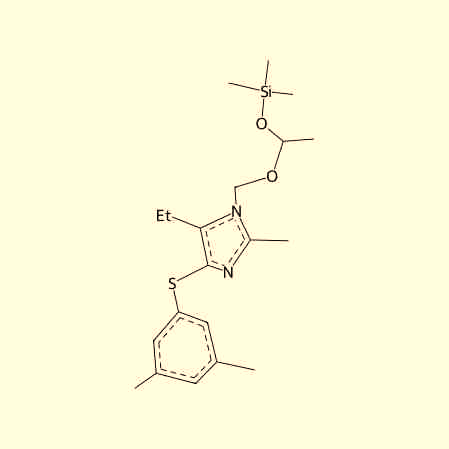 CCc1c(Sc2cc(C)cc(C)c2)nc(C)n1COC(C)O[Si](C)(C)C